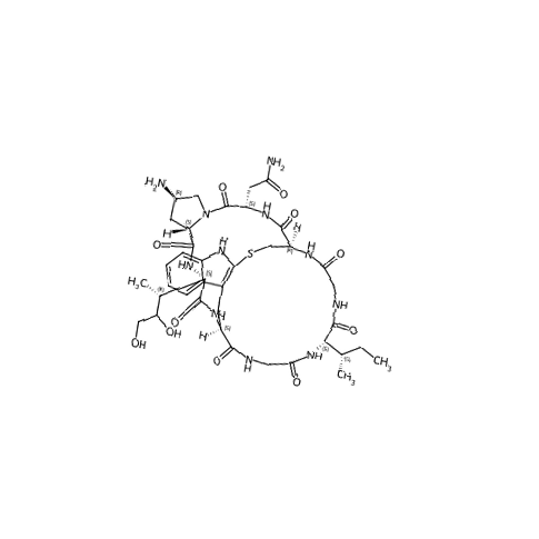 CC[C@H](C)[C@@H]1NC(=O)CNC(=O)[C@@H]2Cc3c([nH]c4ccccc34)SC[C@H](NC(=O)CNC1=O)C(=O)N[C@@H](CC(N)=O)C(=O)N1C[C@H](N)C[C@H]1C(=O)N[C@@H]([C@@H](C)C(O)CO)C(=O)N2